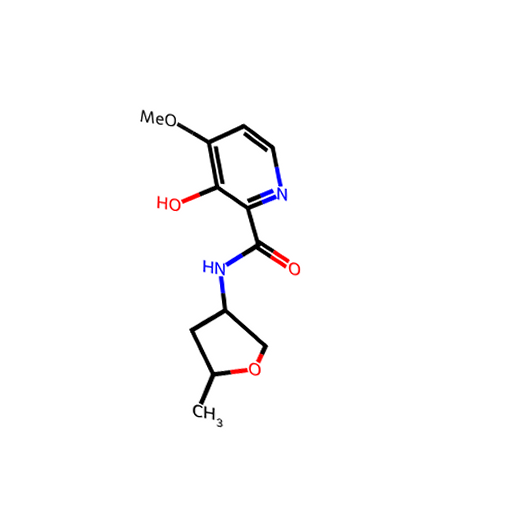 COc1ccnc(C(=O)NC2COC(C)C2)c1O